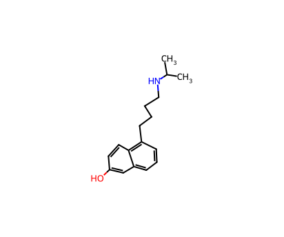 CC(C)NCCCCc1cccc2cc(O)ccc12